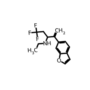 C=C(c1ccc2ccoc2c1)C(CC(F)(F)F)NCC